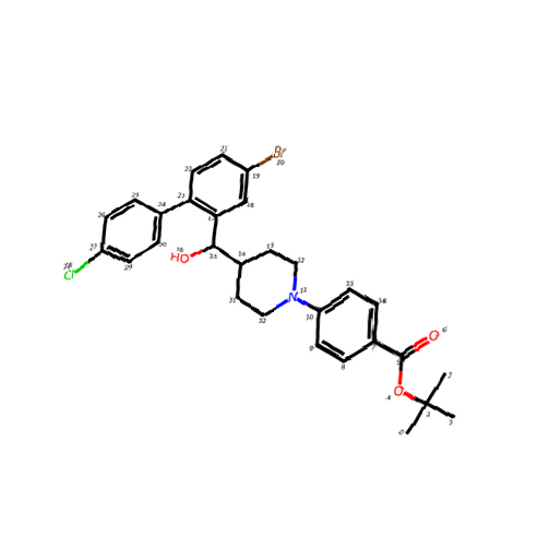 CC(C)(C)OC(=O)c1ccc(N2CCC(C(O)c3cc(Br)ccc3-c3ccc(Cl)cc3)CC2)cc1